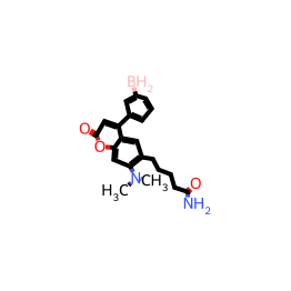 Bc1cccc(-c2cc(=O)oc3cc(N(C)C)c(CCCCC(N)=O)cc23)c1